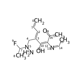 C=C/C=C(CN(N)C(C)F)/C(O)=C(/N=C\C)C(C)=O